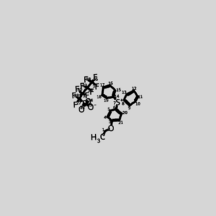 CCOc1ccc([S+](c2ccccc2)c2ccccc2)cc1.O=S(=O)([O-])C(F)(F)C(F)(F)C(F)(F)C(F)(F)F